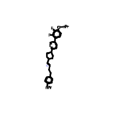 CCCOc1ccc(-c2ccc(C3CCC(/C=C/CCc4ccc(CCC)cc4)CC3)cc2)c(F)c1F